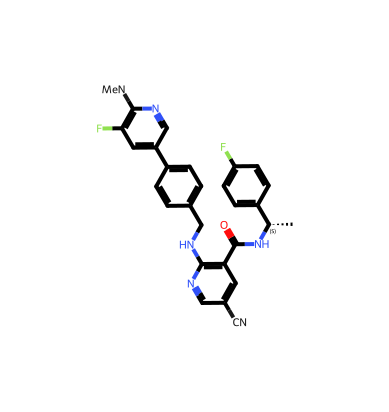 CNc1ncc(-c2ccc(CNc3ncc(C#N)cc3C(=O)N[C@@H](C)c3ccc(F)cc3)cc2)cc1F